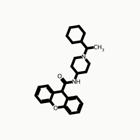 CC(C1CCCCC1)N1CCC(NC(=O)C2c3ccccc3Oc3ccccc32)CC1